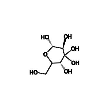 OCC1O[C@H](O)[C@@H](O)C(O)(O)[C@@H]1O